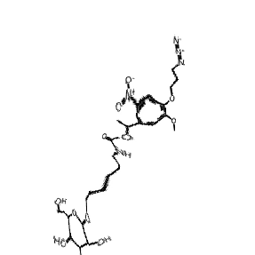 COc1cc(C(C)OC(=O)NCCCCCOC2OC(CO)C(O)C(O)C2O)c([N+](=O)[O-])cc1OCCCN=[N+]=[N-]